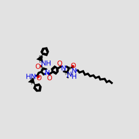 CCCCCCCCCCCCCCNC(=O)[C@@H]1CN(C(=O)c2ccc(C(=O)N3CC(CC(=O)N[C@H]4C[C@@H]4c4ccccc4)[C@H](C(=O)N[C@H]4C[C@@H]4c4ccccc4)C3)cc2)C[C@H]1N(C)C